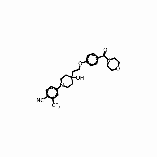 N#Cc1ccc(N2CCC(O)(CCOc3ccc(C(=O)N4CCOCC4)cc3)CC2)cc1C(F)(F)F